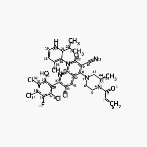 C=CC(=O)N1CCN(c2c(C#N)c(=O)n(C3=C(C)C=CNC3C(C)C)c3nc(-c4c(O)c(Cl)c(Cl)c(F)c4Cl)c(Cl)cc23)C[C@H]1C